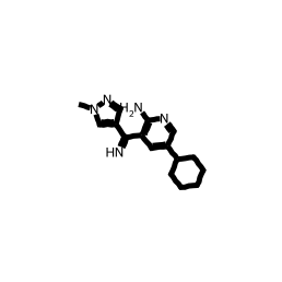 Cn1cc(C(=N)c2cc(C3CCCCC3)cnc2N)cn1